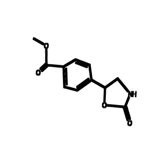 COC(=O)c1ccc(C2CNC(=O)O2)cc1